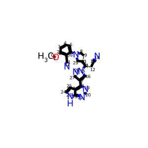 COc1cccc(N2CC[C@H]([C@H](CC#N)n3cc(-c4ncnc5[nH]ccc45)cn3)C2)c1C#N